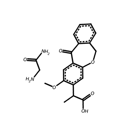 COc1cc2c(cc1C(C)C(=O)O)OCc1ccccc1C2=O.NCC(N)=O